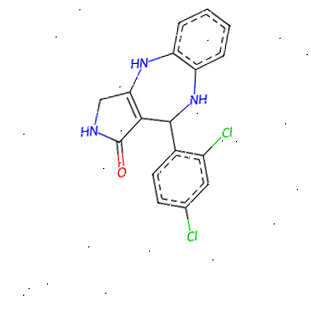 O=C1NCC2=C1C(c1ccc(Cl)cc1Cl)Nc1ccccc1N2